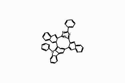 c1ccc(-c2nc3nc(n2)c2cc4ccccc4cc2c2cc(cc4c5ccccc5n(-c5ccccc5)c24)c2cc4ccccc4cc32)cc1